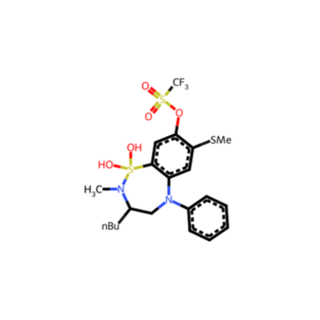 CCCCC1CN(c2ccccc2)c2cc(SC)c(OS(=O)(=O)C(F)(F)F)cc2S(O)(O)N1C